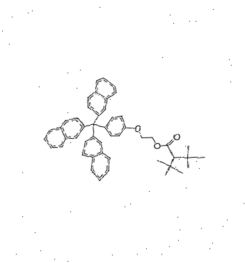 CC(C)(C)C(C(=O)OCCOc1ccc(C(c2ccc3ccccc3c2)(c2ccc3ccccc3c2)c2ccc3ccccc3c2)cc1)C(C)(C)C